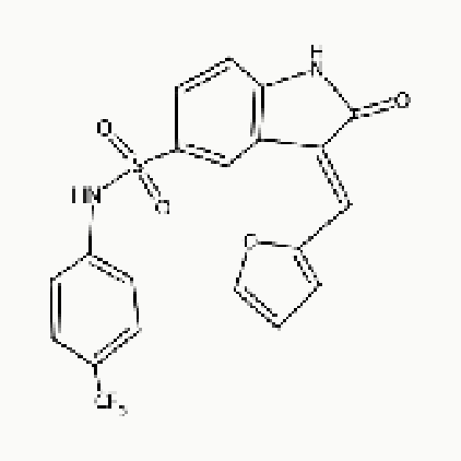 O=C1Nc2ccc(S(=O)(=O)Nc3ccc(C(F)(F)F)cc3)cc2C1=Cc1ccco1